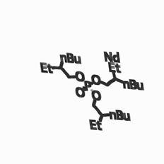 CCCCC(CC)COP(=O)(OCC(CC)CCCC)OCC(CC)CCCC.[Nd]